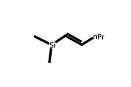 CCCC=C[Si](C)C